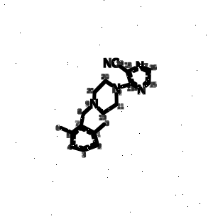 Cc1cccc(C)c1CN1CCN(c2nccnc2C#N)CC1